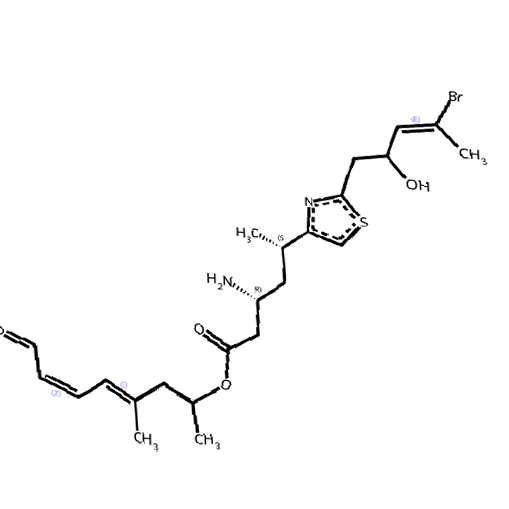 C/C(Br)=C\C(O)Cc1nc([C@@H](C)C[C@@H](N)CC(=O)OC(C)C/C(C)=C/C=C\C=O)cs1